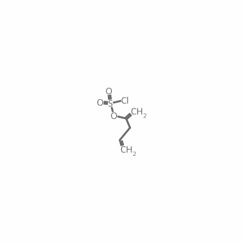 C=CCC(=C)OS(=O)(=O)Cl